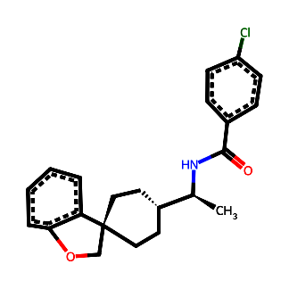 C[C@H](NC(=O)c1ccc(Cl)cc1)[C@H]1CC[C@@]2(CC1)COc1ccccc12